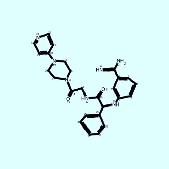 N=C(N)c1cccc(NC(C(=O)NCC(=O)N2CCN(c3ccncc3)CC2)c2ccccc2)c1